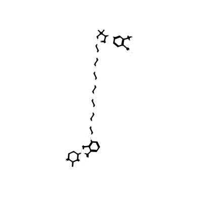 CC1C(=O)CCC(N2C(=O)c3cccc(NCCOCCOCCOCCOCCOCCOCCN4CC(C)(C)C(Oc5ccc(C#N)c(C(F)(F)F)c5)C4=O)c3C2=O)C1=O